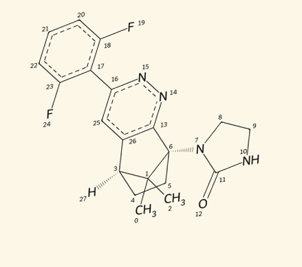 CC1(C)[C@H]2CC[C@]1(N1CCNC1=O)c1nnc(-c3c(F)cccc3F)cc12